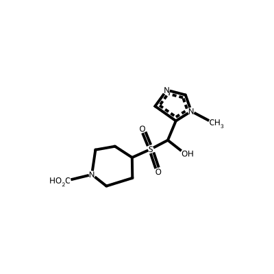 Cn1cncc1C(O)S(=O)(=O)C1CCN(C(=O)O)CC1